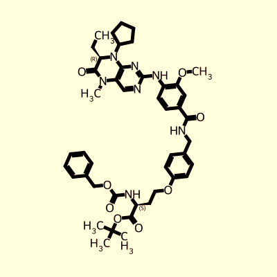 CC[C@@H]1C(=O)N(C)c2cnc(Nc3ccc(C(=O)NCc4ccc(OCC[C@H](NC(=O)OCc5ccccc5)C(=O)OC(C)(C)C)cc4)cc3OC)nc2N1C1CCCC1